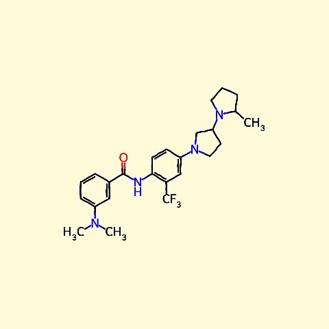 CC1CCCN1C1CCN(c2ccc(NC(=O)c3cccc(N(C)C)c3)c(C(F)(F)F)c2)C1